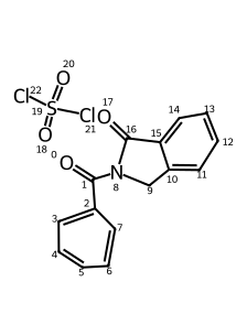 O=C(c1ccccc1)N1Cc2ccccc2C1=O.O=S(=O)(Cl)Cl